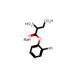 CCCc1ccccc1OC(=O)C(CC(=O)O)S(=O)(=O)O.[NaH]